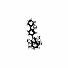 O=C1[C@@H]2[C@H](C(=O)N1c1ccc3c(c1)oc1ccccc13)[C@@H]1C=C[C@H]2CC1